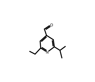 CCc1cc(C=O)cc(C(C)C)n1